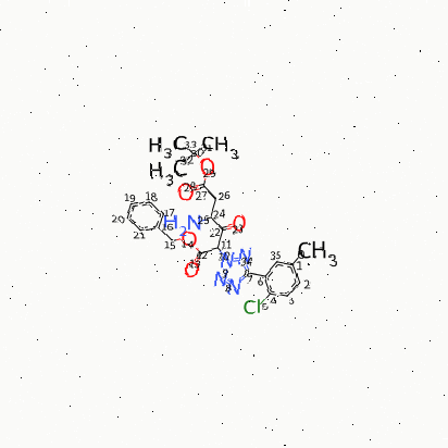 Cc1ccc(Cl)c(-c2nnn(C(C(=O)OCc3ccccc3)C(=O)C(N)CC(=O)OC(C)(C)C)n2)c1